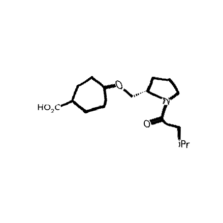 CC(C)CC(=O)N1CCC[C@H]1COC1CCC(C(=O)O)CC1